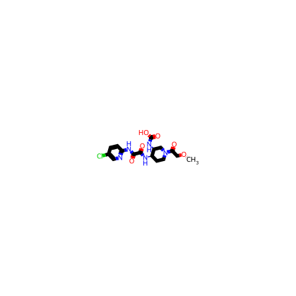 COCC(=O)N1CC[C@H](NC(=O)C(=O)Nc2ccc(Cl)cn2)[C@H](NC(=O)O)C1